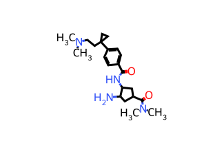 CN(C)CCC1(c2ccc(C(=O)NC3CC(C(=O)N(C)C)CC3N)cc2)CC1